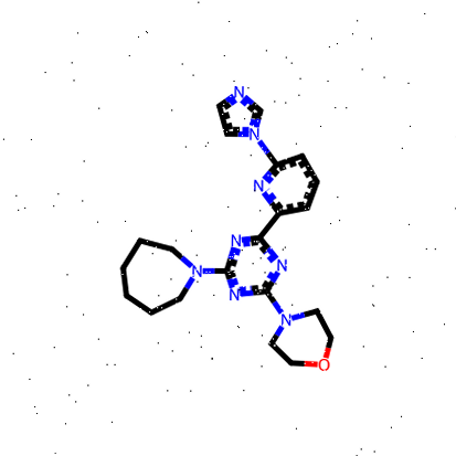 c1cc(-c2nc(N3CCCCCC3)nc(N3CCOCC3)n2)nc(-n2ccnc2)c1